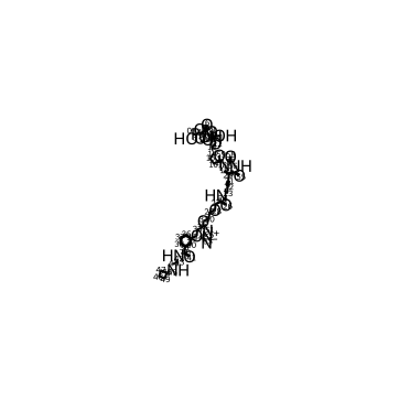 CP(=O)(O)OP(=O)(O)OP(=O)(O)OC[C@@H]1CC[C@H](n2cc(C#CCNC(=O)COCCOC(COc3cccc(C(=O)NCCNC4CCC4)c3)N=[N+]=[N-])c(=O)[nH]c2=O)O1